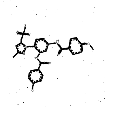 COc1ccc(C(=O)Nc2ccc(-n3nc(C)cc3C(F)(F)F)c(NC(=O)c3ccc(Cl)cc3)c2)cc1